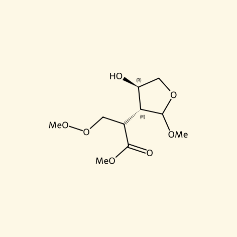 COOCC(C(=O)OC)[C@H]1C(OC)OC[C@@H]1O